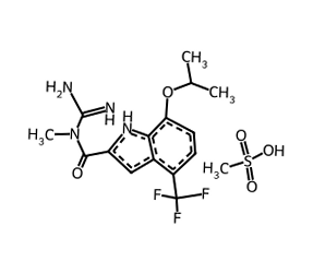 CC(C)Oc1ccc(C(F)(F)F)c2cc(C(=O)N(C)C(=N)N)[nH]c12.CS(=O)(=O)O